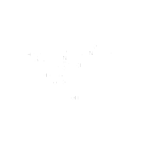 CC(OC(=O)OCCCO)OC(=O)[C@H](Cc1cccc(S(C)(=O)=O)c1)NC(=O)c1c(Cl)cc2c(c1Cl)CCN(C(=O)c1ccc3ccoc3c1)C2